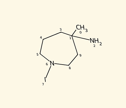 CC1(N)CCCN(I)CC1